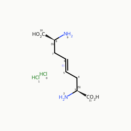 Cl.Cl.N[C@@H](C/C=C/C[C@H](N)C(=O)O)C(=O)O